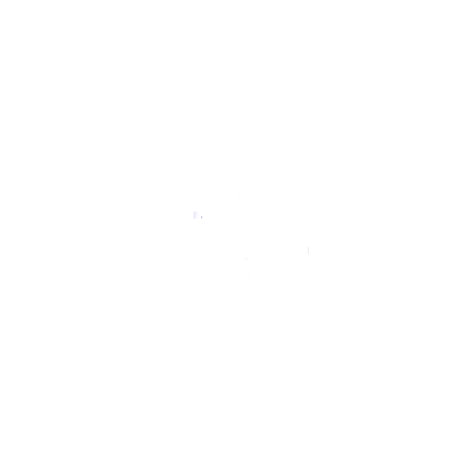 Cc1cccc(C2CC(C(=O)O)Nc3cc(Cl)cc(Cl)c32)c1